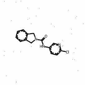 O=C(Nc1ccc(Cl)nc1)N1Cc2ccccc2C1